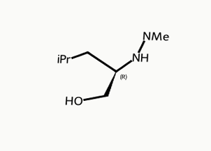 CNN[C@@H](CO)CC(C)C